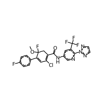 COC1(F)CC(C(=O)Nc2cnc(-n3nccn3)c(C(F)(F)F)c2)=C(Cl)C=C1c1ccc(F)cc1